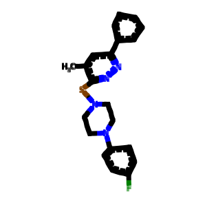 Cc1cc(-c2ccccc2)nnc1SN1CCN(c2ccc(F)cc2)CC1